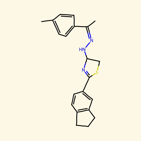 CC(=NNC1CSC(c2ccc3c(c2)CCC3)=N1)c1ccc(C)cc1